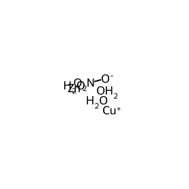 O.O.O.O=[N+]([O-])[O-].[Cu+].[Zn]